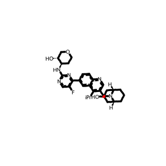 CC(C)c1c(CN2[C@@H]3CCC[C@H]2CC(O)C3)cnc2ccc(-c3nc(N[C@@H]4CCOC[C@H]4O)ncc3F)cc12